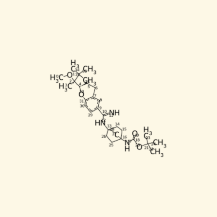 CO[C@@](C)([C@H]1CCc2cc(C(=N)NC34CCC(NC(=O)OC(C)(C)C)(CC3)CC4)ccc2O1)C(C)(C)C